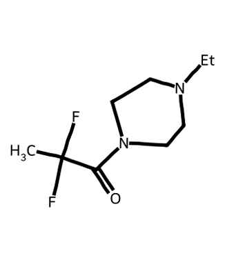 CCN1CCN(C(=O)C(C)(F)F)CC1